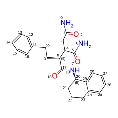 NC(=O)CC(C(N)=O)[C@H](CCc1ccccc1)C(=O)N[C@@H]1CCCc2ccccc21